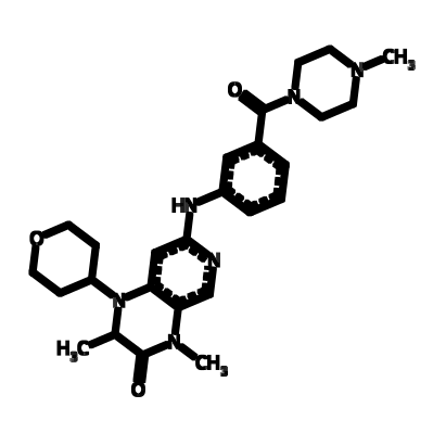 CC1C(=O)N(C)c2cnc(Nc3cccc(C(=O)N4CCN(C)CC4)c3)cc2N1C1CCOCC1